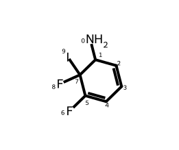 NC1C=CC=C(F)C1(F)I